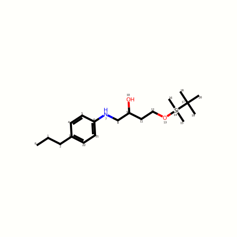 CCCc1ccc(NCC(O)CCO[Si](C)(C)C(C)(C)C)cc1